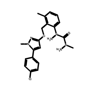 Cc1cccc(N(N)C(=O)N(C)N)c1COc1cc(-c2ccc(Cl)cc2)n(C)n1